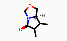 CC1C(=O)N2COC[C@H]2C1C